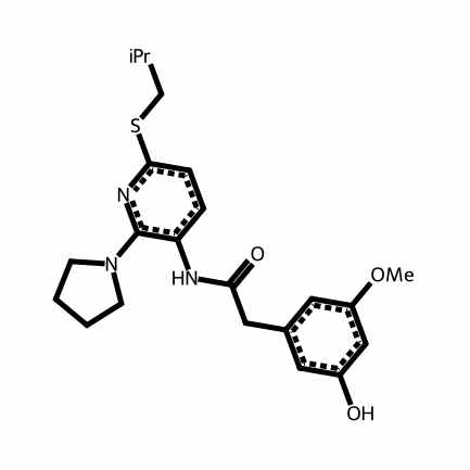 COc1cc(O)cc(CC(=O)Nc2ccc(SCC(C)C)nc2N2CCCC2)c1